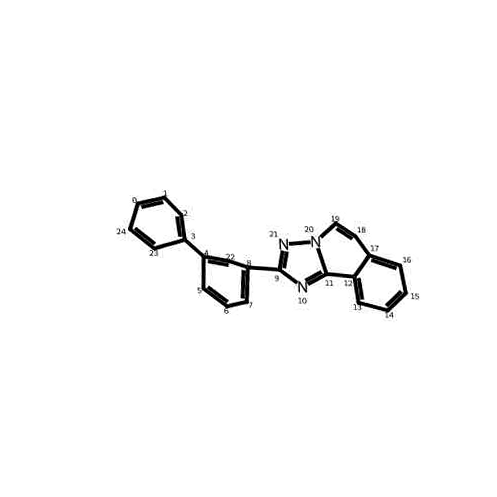 c1ccc(-c2cccc(-c3nc4c5ccccc5ccn4n3)c2)cc1